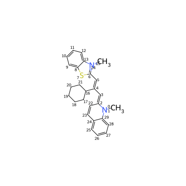 CN1/C(=C/C(=C/c2sc3ccccc3[n+]2C)C2CCCCC2)C=Cc2ccccc21